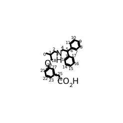 CC(CNCC(c1ccccc1)c1ccccc1)COc1cccc(CC(=O)O)c1